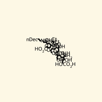 CCCCCCCCCCCCNCC(O)C1OC(OC(CO)C(O)C2OC(OC(CO)C(O)C3OC(C(O)C(=O)O)C(O)C3N)(C(=O)O)CC(O)C2NC(=O)CC)(C(=O)O)CC(O)C1NC(=O)CC